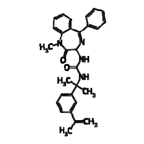 C=C(C)c1cccc(C(C)(C)NC(=O)NC2N=C(c3ccccc3)c3ccccc3N(C)C2=O)c1